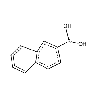 OB(O)c1ccc2c(c1)C=C=C=C2